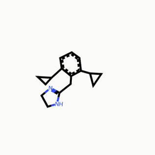 c1cc(C2CC2)c(CC2=NCCN2)c(C2CC2)c1